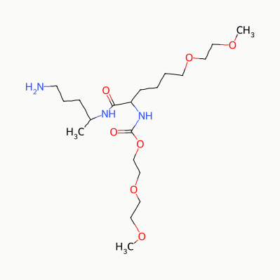 COCCOCCCCC(NC(=O)OCCOCCOC)C(=O)NC(C)CCCN